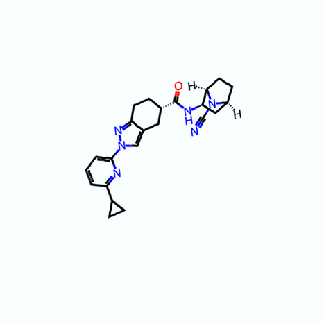 N#CN1[C@H]2CC[C@@H]1[C@H](NC(=O)[C@H]1CCc3nn(-c4cccc(C5CC5)n4)cc3C1)C2